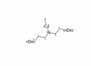 CCCCCCCCCCCC[N](CCCCCCCCCCCC)[Cd][CH3]